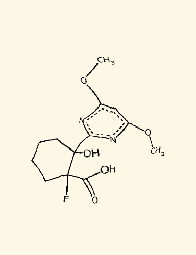 COc1cc(OC)nc(C2(O)CCCCC2(F)C(=O)O)n1